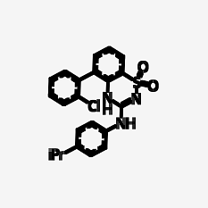 CC(C)c1ccc(NC2=NS(=O)(=O)c3cccc(-c4ccccc4Cl)c3N2)cc1